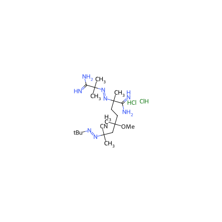 COC(C)(CCC(C)(N=NC(C)(C)C(=N)N)C(=N)N)CC(C)(C#N)N=NC(C)(C)C.Cl.Cl